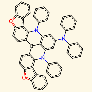 c1ccc(N(c2ccccc2)c2cc3c4c(c2)N(c2ccccc2)c2c(ccc5oc6ccccc6c25)B4c2ccc4oc5ccccc5c4c2N3c2ccccc2)cc1